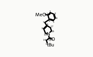 COc1ccccc1CC1=CCN(C(=O)CC(C)(C)C)CC1